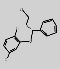 ClCC[C@@H](Oc1cc(Cl)ccc1Cl)c1ccccc1